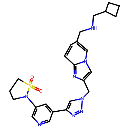 O=S1(=O)CCCN1c1cncc(-c2cn(Cc3cn4cc(CNCC5CCC5)ccc4n3)nn2)c1